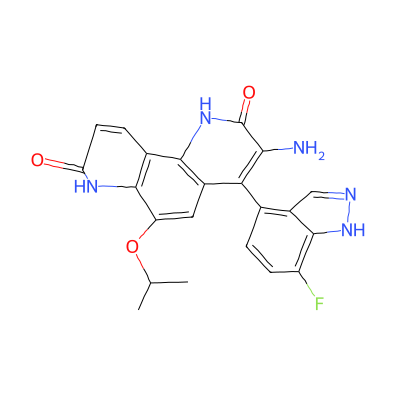 CC(C)Oc1cc2c(-c3ccc(F)c4[nH]ncc34)c(N)c(=O)[nH]c2c2ccc(=O)[nH]c12